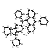 CC(C)(C)c1ccc2c(-c3ccccc3)c3ccccc3c(N(c3ccccc3)c3ccc4c(c3)c3ccccc3n4-c3ccccc3)c2c1